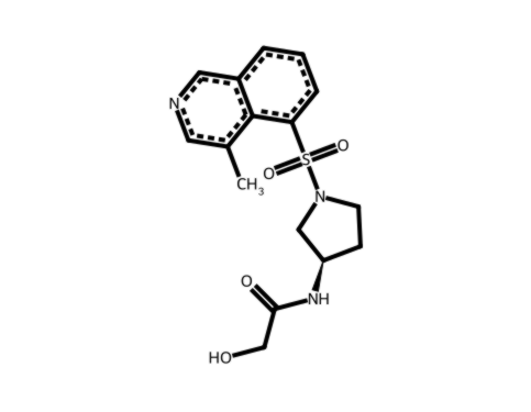 Cc1cncc2cccc(S(=O)(=O)N3CC[C@@H](NC(=O)CO)C3)c12